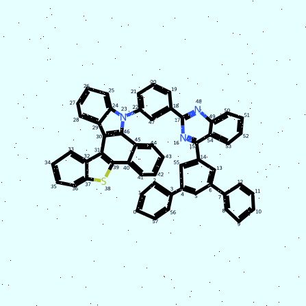 c1ccc(-c2cc(-c3ccccc3)cc(-c3nc(-c4cccc(-n5c6ccccc6c6c7c8ccccc8sc7c7ccccc7c65)c4)nc4ccccc34)c2)cc1